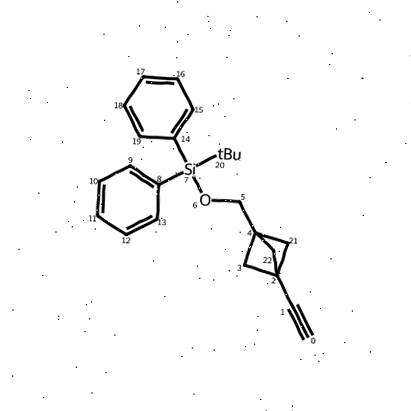 C#CC12CC(CO[Si](c3ccccc3)(c3ccccc3)C(C)(C)C)(C1)C2